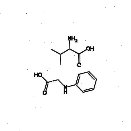 CC(C)C(N)C(=O)O.O=C(O)CNc1ccccc1